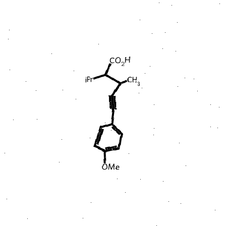 COc1ccc(C#CC(C)C(C(=O)O)C(C)C)cc1